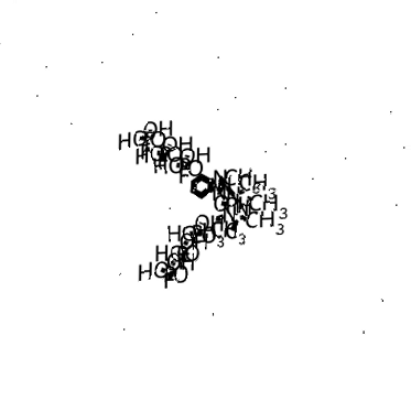 CCN(CC)[PH](On1nnc2ccccc21)(N(CC)CC)N(CC)CC.O=P(O)(O)F.O=P(O)(O)F.O=P(O)(O)F.O=P(O)(O)F.O=P(O)(O)F.O=P(O)(O)F